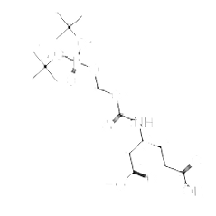 CC(C)(C)OP(=O)(OCOC(=O)N[C@@H](CCC(=O)O)CC(=O)O)OC(C)(C)C